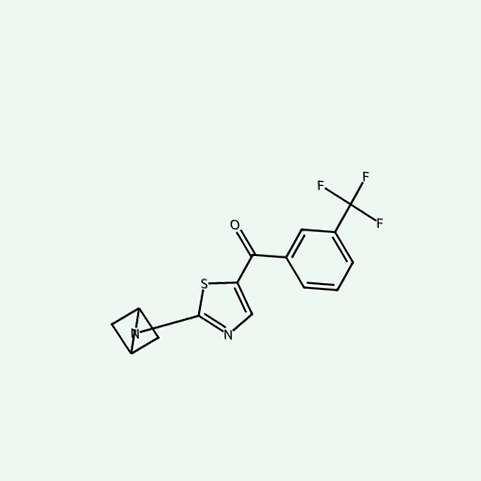 O=C(c1cccc(C(F)(F)F)c1)c1cnc(N2CC3CC2C3)s1